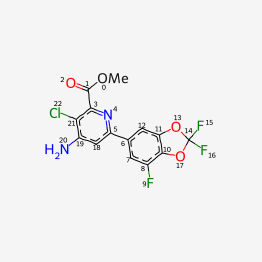 COC(=O)c1nc(-c2cc(F)c3c(c2)OC(F)(F)O3)cc(N)c1Cl